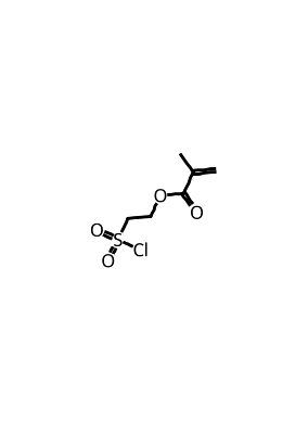 C=C(C)C(=O)OCCS(=O)(=O)Cl